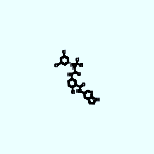 O=C(Nc1cnc2[nH]ccc2c1)c1cc(NC(=O)[C@H]2[C@H](c3cc(Cl)cc(Cl)c3)C2(Cl)Cl)ccc1Cl